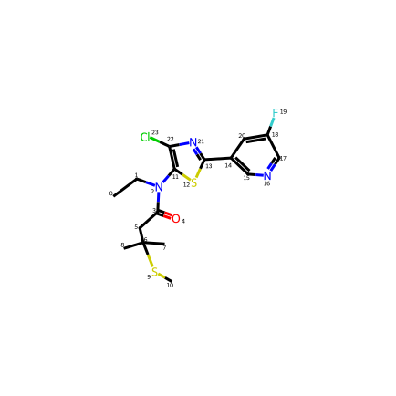 CCN(C(=O)CC(C)(C)SC)c1sc(-c2cncc(F)c2)nc1Cl